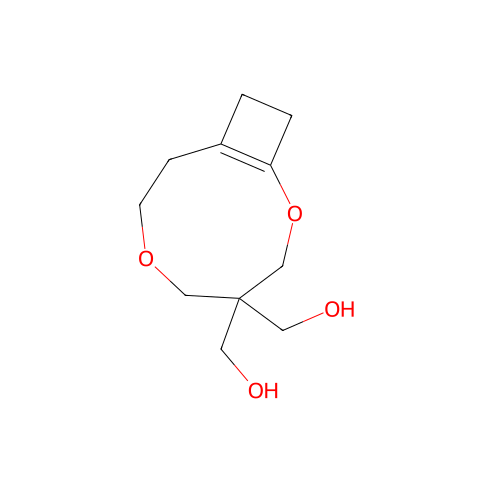 OCC1(CO)COCCC2=C(CC2)OC1